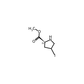 COC(=O)[C@@H]1CC(I)CN1